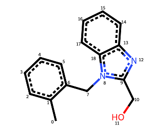 Cc1ccccc1Cn1c(CO)nc2ccccc21